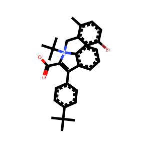 Cc1ccc(Br)cc1C[N+]1(C(C)(C)C)C(C(=O)[O-])=C(c2ccc(C(C)(C)C)cc2)c2ccccc21